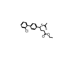 CCOC(=O)CCC(SC(C)=S)c1ccc(-c2ccccc2Cl)cc1